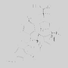 COc1ccc(S(=O)(=O)N2C(=O)[C@@](c3ccccc3OC)(N3C[C@@H](C(C)(C)C(=O)O)C[C@H]3C(=O)N(C)C)c3cc(Cl)ccc32)c(OC)c1